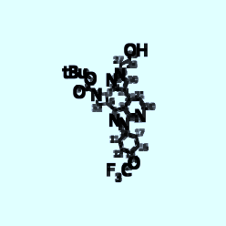 CC(C)(C)OC(=O)N1CC(c2nn(-c3ccc(OC(F)(F)F)cc3)c3nccc(-c4cnn(CCO)c4)c23)C1